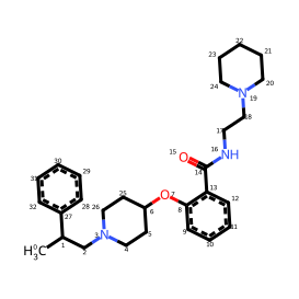 CC(CN1CCC(Oc2ccccc2C(=O)NCCN2CCCCC2)CC1)c1ccccc1